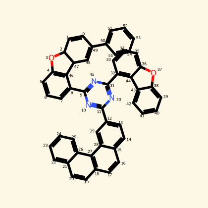 C1=CC2Oc3cccc(-c4nc(-c5ccc6ccc7ccc8ccccc8c7c6c5)nc(-c5cccc6oc7ccccc7c56)n4)c3C2C=C1c1ccccc1